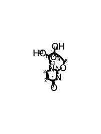 O=c1ccn2c(n1)OCC1OC2C(O)C1O